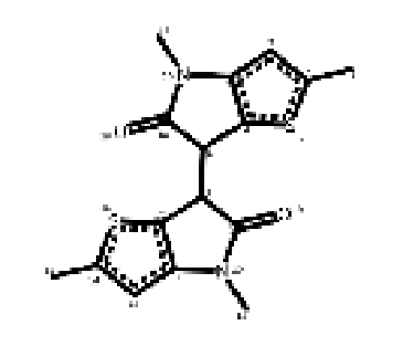 Cc1cc2c(s1)C(C1C(=O)N(C)c3cc(C)sc31)C(=O)N2C